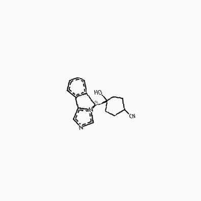 N#CC1CCC(O)([C@@H]2c3ccccc3-c3cncn32)CC1